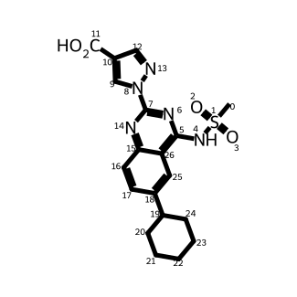 CS(=O)(=O)Nc1nc(-n2cc(C(=O)O)cn2)nc2ccc(C3CCCCC3)cc12